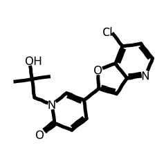 CC(C)(O)Cn1cc(-c2cc3nccc(Cl)c3o2)ccc1=O